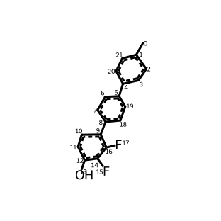 Cc1ccc(-c2ccc(-c3ccc(O)c(F)c3F)cc2)cc1